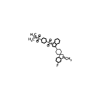 CN1CC2(CCC(c3cn(S(=O)(=O)c4ccc(S(=O)(=O)N(C)C)cc4)c4ccccc34)CC2)c2ccc(F)cc21